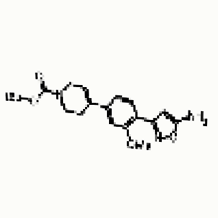 COc1cc(C2=CCN(C(=O)OC(C)(C)C)CC2)ccc1-c1cc(N)on1